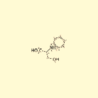 NC(CO)C(=O)O.c1ccccc1